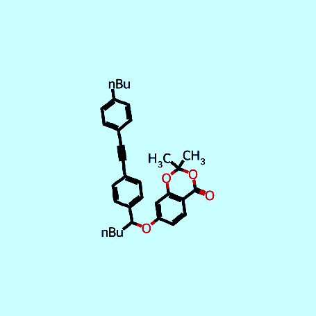 CCCCc1ccc(C#Cc2ccc(C(CCCC)Oc3ccc4c(c3)OC(C)(C)OC4=O)cc2)cc1